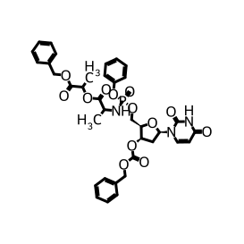 CC(NP(=O)(OC[C@H]1O[C@@H](n2ccc(=O)[nH]c2=O)C[C@H]1OC(=O)OCc1ccccc1)Oc1ccccc1)C(=O)OC(C)C(=O)OCc1ccccc1